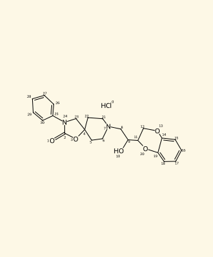 Cl.O=C1OC2(CCN(CC(O)C3COc4ccccc4O3)CC2)CN1c1ccccc1